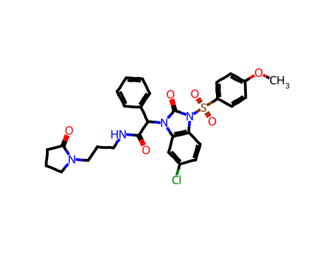 COc1ccc(S(=O)(=O)n2c(=O)n(C(C(=O)NCCCN3CCCC3=O)c3ccccc3)c3cc(Cl)ccc32)cc1